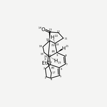 CC[C@]12CCC3C=C1C=C[C@H]1[C@@H]4CCC(=O)[C@@]4(CC3)CC[C@@H]12